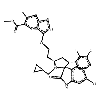 COC(=O)c1cc2c(OCC[C@H]3C[C@H](c4cccc(Cl)c4F)[C@]4(C(=O)Nc5cc(Cl)ccc54)N3CC3CC3)[nH]nc2cc1C